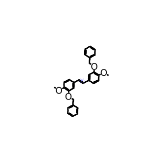 COc1ccc(/C=C/c2ccc(OC)c(OCc3ccccc3)c2)cc1OCc1ccccc1